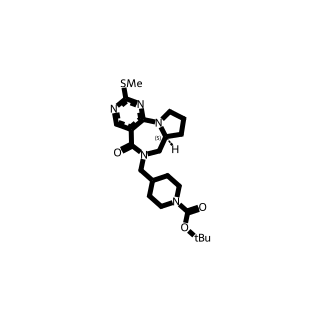 CSc1ncc2c(n1)N1CCC[C@H]1CN(CC1CCN(C(=O)OC(C)(C)C)CC1)C2=O